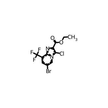 CCOC(=O)c1nc2c(C(F)(F)F)cc(Br)cn2c1Cl